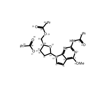 COc1nc(NC(=O)C(C)C)nc2c1ccn2C1C[C@H](OC(=O)C(C)C)[C@@H](COC(=O)C(C)C)O1